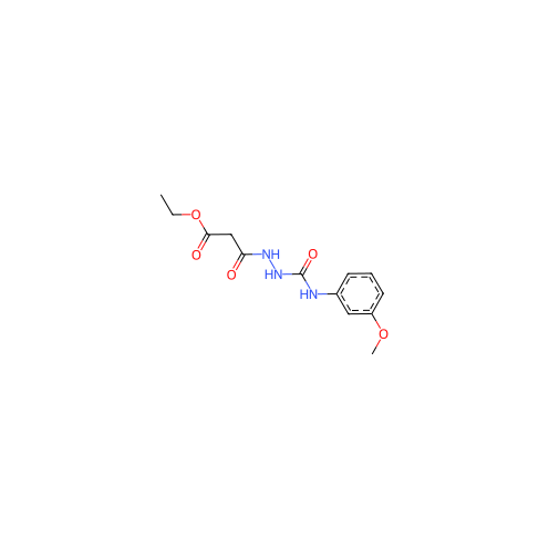 CCOC(=O)CC(=O)NNC(=O)Nc1cccc(OC)c1